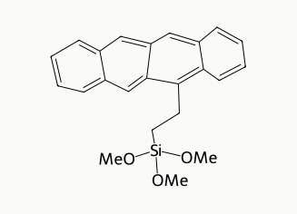 CO[Si](CCc1c2ccccc2cc2cc3ccccc3cc12)(OC)OC